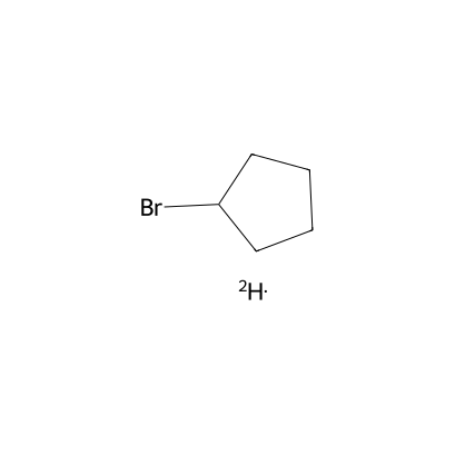 BrC1CCCC1.[2H]